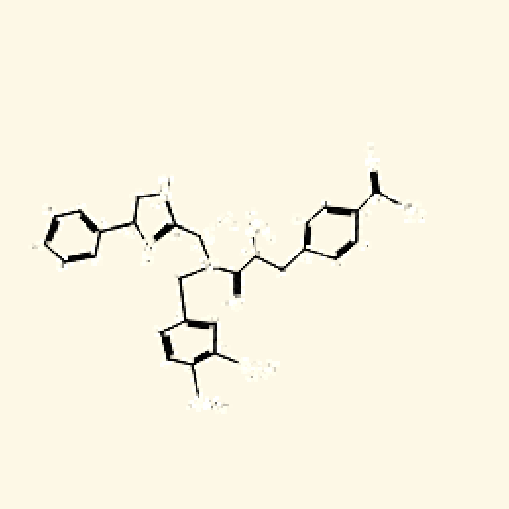 COc1ccc(CN(C(=O)[C@@H](N)Cc2ccc(C(N)=O)cc2)[C@@H](C)C2=NC(c3ccccc3)CN2)cc1C(=O)O